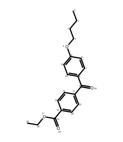 CCCCOc1ccc(C(=O)c2ccc(C(=O)OCC)cc2)cc1